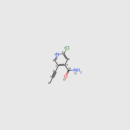 CC#Cc1cnc(Cl)cc1C(N)=O